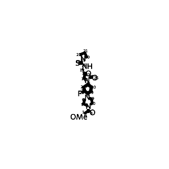 COCC(=O)N1CCN(c2ccc(N3C[C@H](CNC(=S)N4CCC4)OC3=O)cc2F)CC1